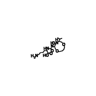 CC(C)[C@H]1COCCCCOC[C@@H](NC(=O)NC(CCCCN)C(=O)O)C(=O)N1